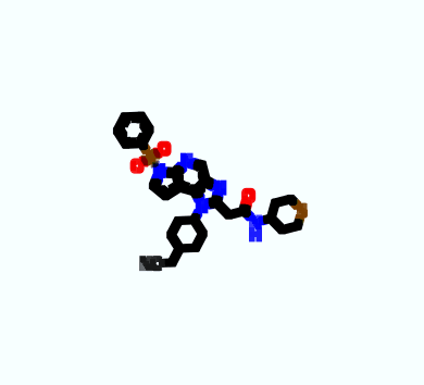 N#CCC1CCC(n2c(CC(=O)NC3CCSCC3)nc3cnc4c(ccn4S(=O)(=O)c4ccccc4)c32)CC1